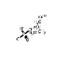 O.O.O.O.O=P([O-])([O-])[O-].[Co+3]